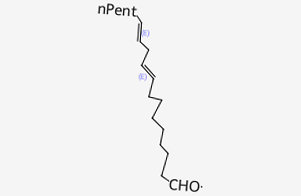 CCCCC/C=C/C/C=C/CCCCCCC[C]=O